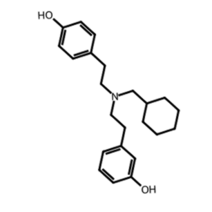 Oc1ccc(CCN(CCc2cccc(O)c2)CC2CCCCC2)cc1